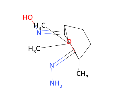 CC12CCC(C(=NO)C1=NN)C(C)(C)O2